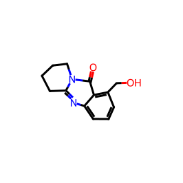 O=c1c2c(CO)cccc2nc2n1CCCC2